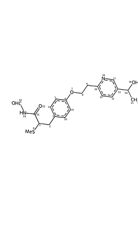 CSC(Cc1ccc(OCCc2ccc(C(C)O)cn2)cc1)C(=O)NC=O